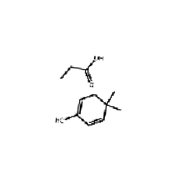 CC1(C)C=CC(O)=CC1.CCC(=O)O